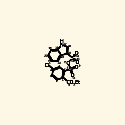 CCOC(=O)c1ccc(Cl)cc1S(=O)(=O)OS(=O)(=O)c1c[nH]c2ccccc12